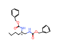 CCCC[C@H](CNC(=O)OCc1ccccc1)NC(=O)OCc1ccccc1